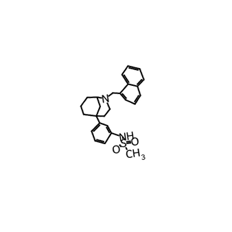 CS(=O)(=O)Nc1cccc(C23CCCC(C2)N(Cc2cccc4ccccc24)CC3)c1